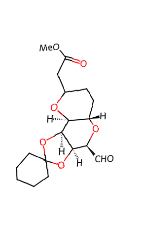 COC(=O)CC1CC[C@@H]2O[C@@H](C=O)[C@H]3OC4(CCCCC4)O[C@H]3[C@H]2O1